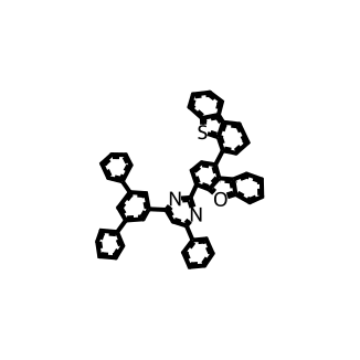 c1ccc(-c2cc(-c3ccccc3)cc(-c3cc(-c4ccccc4)nc(-c4ccc(-c5cccc6c5sc5ccccc56)c5c4oc4ccccc45)n3)c2)cc1